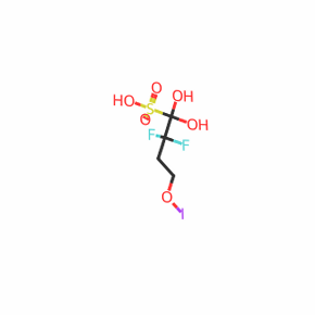 O=S(=O)(O)C(O)(O)C(F)(F)CCOI